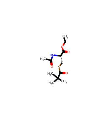 CCOC(=O)[C@H](CSC(=O)C(C)(C)C)NC(C)=O